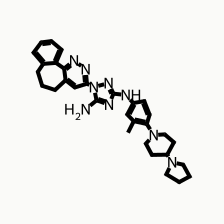 Cc1cc(Nc2nc(N)n(-c3cc4c(nn3)-c3ccccc3CCC4)n2)ccc1N1CCC(N2CCCC2)CC1